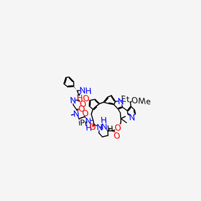 CCn1c(-c2cnccc2COC)c2c3cc(ccc31)-c1cc(O)cc(c1)C[C@H](NC(=O)C(C(C)C)N(C)C(=O)CN(C)C(=O)[C@H]1N[C@H]1c1ccccc1)C(=O)N1CCC[C@H](N1)C(=O)OCC(C)(C)C2